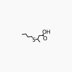 CCCCSC(C)CC(=O)O